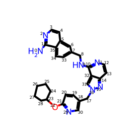 Nc1nccc2cc(CNc3nccc4nn(Cc5ccc(OC6CCCCC6)nc5)cc34)ccc12